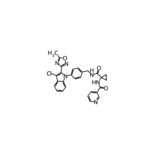 Cc1nc(-c2c(Cl)c3ccccc3n2-c2ccc(CNC(=O)C3(NC(=O)c4cccnc4)CC3)cc2)no1